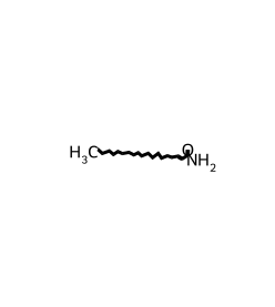 CCCCCCCCCCCCCCCCCC=CC(N)=O